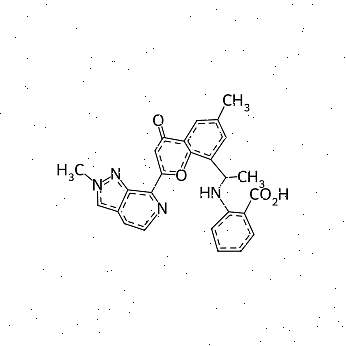 Cc1cc(C(C)Nc2ccccc2C(=O)O)c2oc(-c3nccc4cn(C)nc34)cc(=O)c2c1